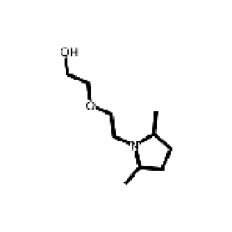 CC1CCC(C)N1CCOCCO